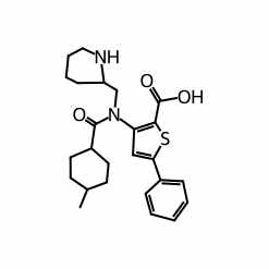 CC1CCC(C(=O)N(CC2CCCCN2)c2cc(-c3ccccc3)sc2C(=O)O)CC1